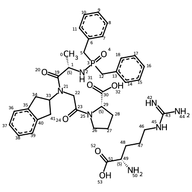 C[C@H](NP(=O)(Cc1ccccc1)Cc1ccccc1)C(=O)N(CC(=O)N1CCC[C@H]1C(=O)O)C1Cc2ccccc2C1.N=C(N)NCCC[C@H](N)C(=O)O